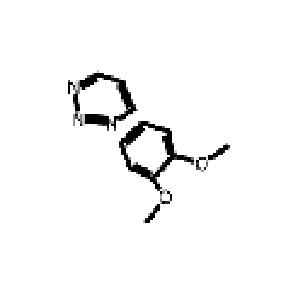 COc1ccccc1OC.c1cnnnc1